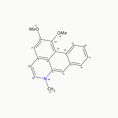 COc1cc2c3c(cc4ccccc4c3c1OC)N(C)C=C2